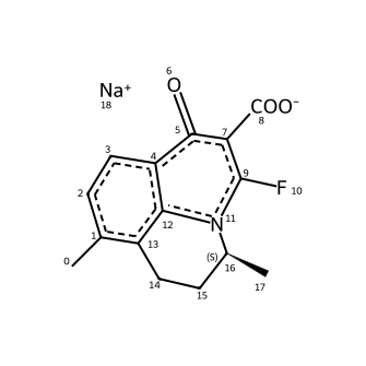 Cc1ccc2c(=O)c(C(=O)[O-])c(F)n3c2c1CC[C@@H]3C.[Na+]